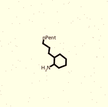 CCCCCCCCC1CCCCC1N